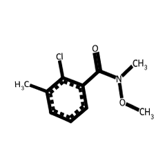 CON(C)C(=O)c1cccc(C)c1Cl